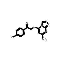 Cc1cc(OCC(=O)c2ccc(Cl)cc2)n2cnnc2n1